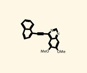 COc1cc2ncnc(C#Cc3cccc4ccccc34)c2cc1OC